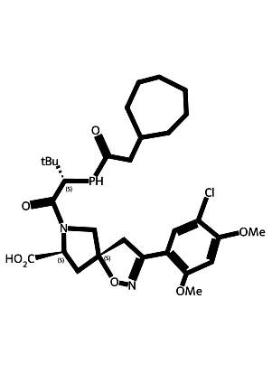 COc1cc(OC)c(C2=NO[C@]3(C2)C[C@@H](C(=O)O)N(C(=O)[C@@H](PC(=O)CC2CCCCCC2)C(C)(C)C)C3)cc1Cl